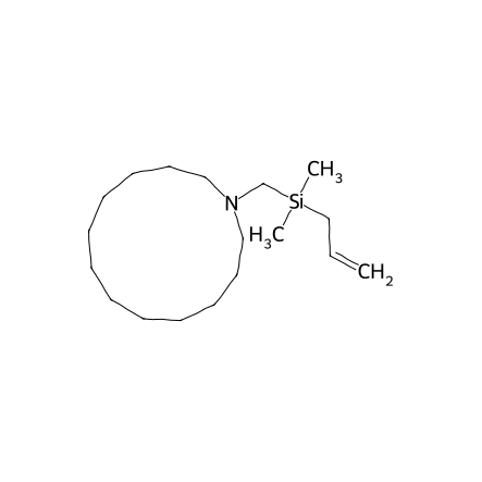 C=CC[Si](C)(C)CN1CCCCCCCCCCCC1